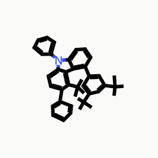 CC(C)(C)c1cc(-c2cccc3c2c2c(C(C)(C)C)c(-c4ccccc4)ccc2n3-c2ccccc2)cc(C(C)(C)C)c1